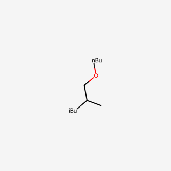 CCCCOCC(C)C(C)CC